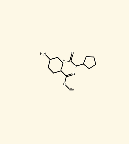 CC(C)(C)OC(=O)N1CCC(N)C[C@@H]1C(=O)OC1CCCC1